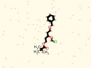 CC(C)(C)C(=O)OCCC(CCOCc1ccccc1)OCCl